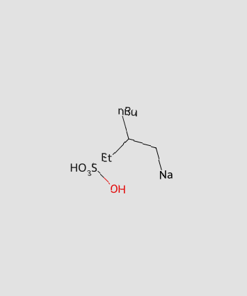 CCCCC(CC)[CH2][Na].O=S(=O)(O)O